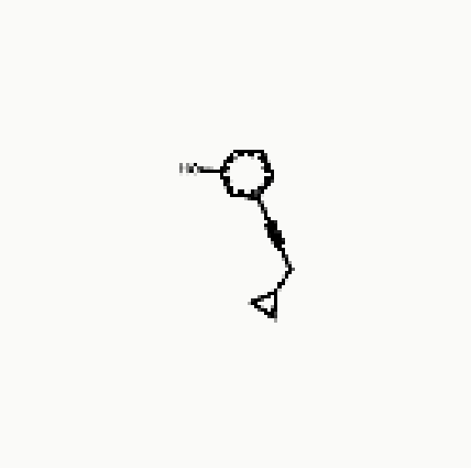 Oc1cccc(C#CCC2CC2)c1